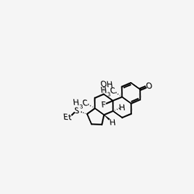 CCS[C@H]1CC[C@H]2[C@@H]3CCC4=CC(=O)C=C[C@]4(C)C3(F)[C@@H](O)C[C@]12C